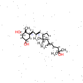 C=C1/C(=C/C=C/[C@@H]2CC[C@H]([C@H](C)CCCC(C)(C)O)C2(C)C)C[C@@H](O)C[C@@H]1O